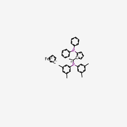 Cc1cc(C)cc(P(c2cc(C)cc(C)c2)[C@@H](C)[c-]2cccc2P(c2ccccc2)c2ccccc2)c1.[Fe+2].c1cc[cH-]c1